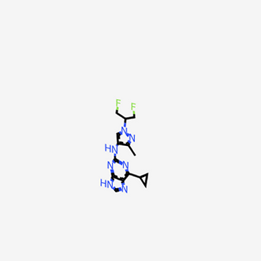 Cc1nn(C(CF)CF)cc1Nc1nc(C2CC2)c2nc[nH]c2n1